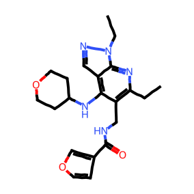 CCc1nc2c(cnn2CC)c(NC2CCOCC2)c1CNC(=O)c1ccoc1